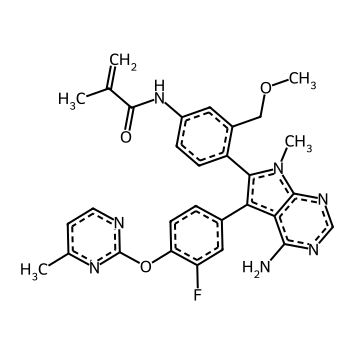 C=C(C)C(=O)Nc1ccc(-c2c(-c3ccc(Oc4nccc(C)n4)c(F)c3)c3c(N)ncnc3n2C)c(COC)c1